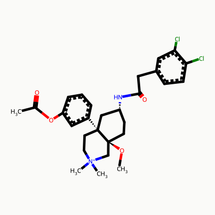 CO[C@]12CC[C@@H](NC(=O)Cc3ccc(Cl)c(Cl)c3)C[C@]1(c1cccc(OC(C)=O)c1)CC[N+](C)(C)C2